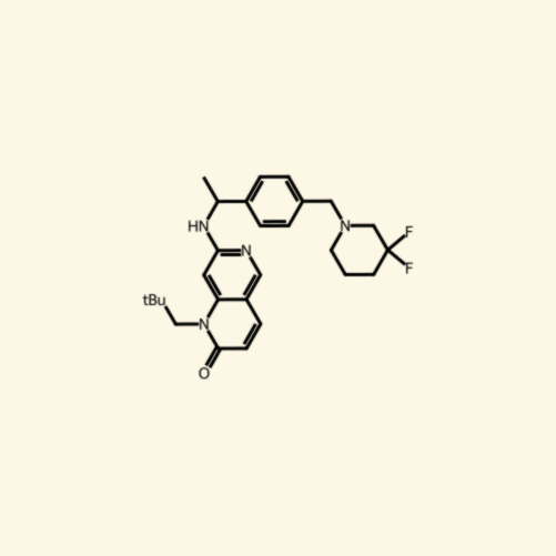 CC(Nc1cc2c(ccc(=O)n2CC(C)(C)C)cn1)c1ccc(CN2CCCC(F)(F)C2)cc1